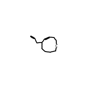 C=CCC1C=CCCCCCCC1